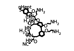 CCCCCCCSc1ccc(C(=O)N[C@@H](CCN)C(=O)N(C)[C@@H]2C(=O)N[C@@H](C)C(=O)N[C@H](C(=O)NCC#N)Cc3ccc(OCCN)c(c3)-c3cc2ccc3OCCN)c(C)c1